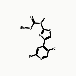 CN(C(=O)OC(C)(C)C)c1nc(-c2cc(F)ncc2Cl)cs1